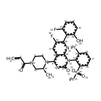 C=CC(=O)N1CCN(c2nc(=O)n(-c3c(C(C)C)cccc3S(=O)(=O)C(C)C)c3nc(-c4c(O)cccc4F)c(F)cc23)[C@@H](C)C1